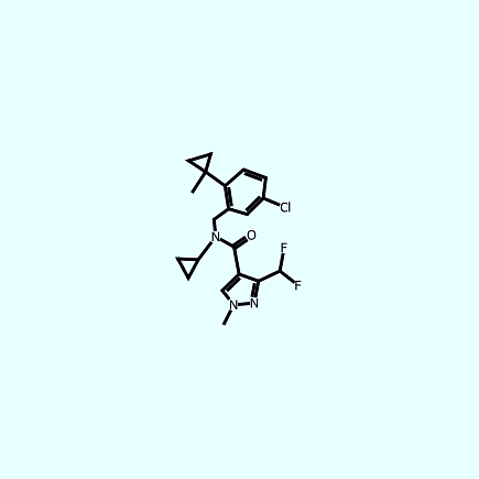 Cn1cc(C(=O)N(Cc2cc(Cl)ccc2C2(C)CC2)C2CC2)c(C(F)F)n1